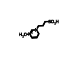 C[N+]1=CN(CCCS(=O)(=O)O)CC=C1